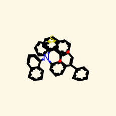 C1=C=C(N(c2ccccc2C2=CC=C(c3ccccc3)CC2)c2ccccc2-c2cccc3sc4ccccc4c23)c2ccccc2C=1